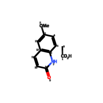 CC(=O)O.COc1ccc2[nH]c(=O)ccc2c1